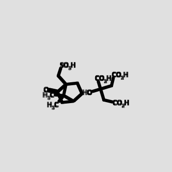 CC1(C)C2CCC1(CS(=O)(=O)O)C(=O)C2.O=C(O)CC(O)(CC(=O)O)C(=O)O